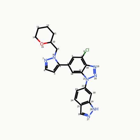 Clc1cc(-c2ccnn2CC2CCCCO2)cc2c1nnn2-c1ccc2cn[nH]c2c1